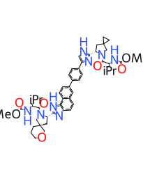 COC(=O)N[C@H](C(=O)N1CC2(CC2)C[C@H]1c1nc(-c2ccc(-c3ccc4c(ccc5nc([C@@H]6C[C@@]7(CCCOC7)CN6C(=O)[C@@H](NC(=O)OC)C(C)C)[nH]c54)c3)cc2)c[nH]1)C(C)C